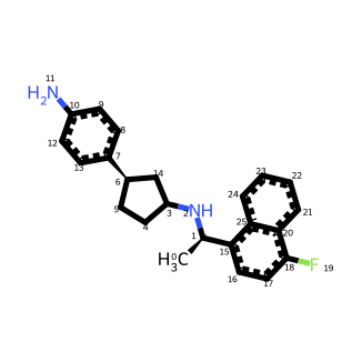 C[C@@H](NC1CC[C@@H](c2ccc(N)cc2)C1)c1ccc(F)c2ccccc12